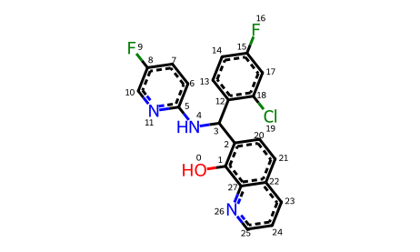 Oc1c(C(Nc2ccc(F)cn2)c2ccc(F)cc2Cl)ccc2cccnc12